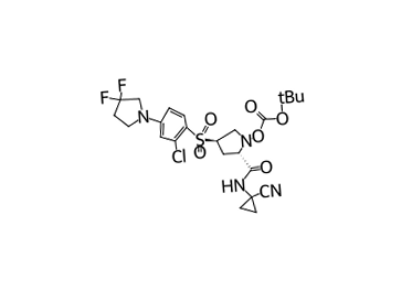 CC(C)(C)OC(=O)ON1C[C@H](S(=O)(=O)c2ccc(N3CCC(F)(F)C3)cc2Cl)C[C@H]1C(=O)NC1(C#N)CC1